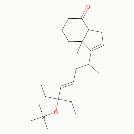 CCC(C=CCC(C)C1=CCC2C(=O)CCCC12C)(CC)O[Si](C)(C)C